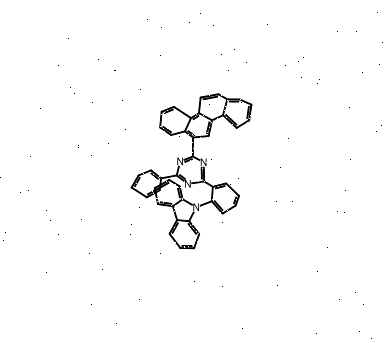 c1ccc(-c2nc(-c3ccccc3-n3c4ccccc4c4ccccc43)nc(-c3cc4c5ccccc5ccc4c4ccccc34)n2)cc1